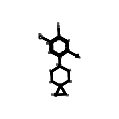 Fc1cc(Cl)c(N2CCC3(CC2)CO3)cc1Cl